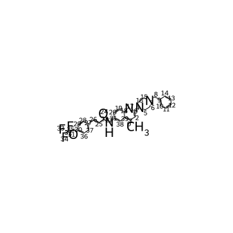 Cc1cc(N2CCN(Cc3ccccc3)CC2)nc2ccc(NC(=O)C=Cc3ccc(OC(F)(F)F)cc3)cc12